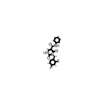 O=C(Nc1ccccc1)c1c[nH]c(=O)n(Cc2ccc(F)cc2F)c1=O